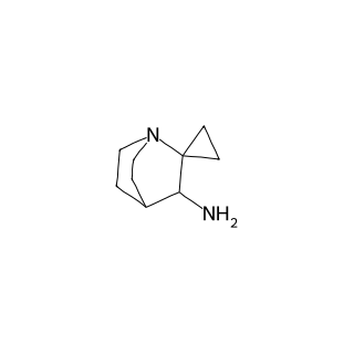 NC1C2CCN(CC2)C12CC2